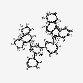 c1ccc(-c2nc(-c3cccc(-n4c5ccccc5c5c6ccccc6ccc54)c3)nc(-c3cc4ccccc4c4ccccc34)n2)cc1